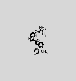 C[C@@H]1COCCN1c1nccc2oc(-c3cnc4ccc(OC[C@@H](C)N)nn34)cc12